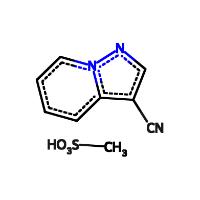 CS(=O)(=O)O.N#Cc1cnn2ccccc12